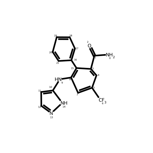 NC(=O)c1cc(C(F)(F)F)cc(Nc2ccn[nH]2)c1-c1ccccc1